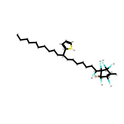 CCCCCCCCCCC(CCCCCCC(F)C1(F)C(F)(F)C(C)=C(F)C1(F)Br)c1cccs1